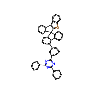 c1ccc(-c2nc(-c3ccccc3)nc(-c3cccc(-c4cccc5c4-c4ccccc4C54c5ccccc5-c5c4sc4ccccc54)c3)n2)cc1